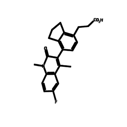 Cc1c(-c2ccc(CCC(=O)O)c3c2CCC3)c(=O)n(C)c2ccc(F)cc12